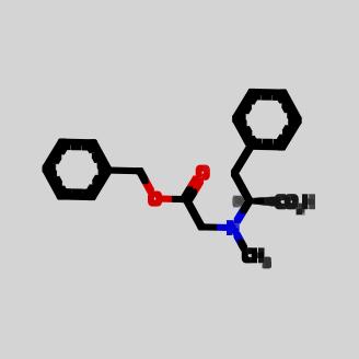 CN(CC(=O)OCc1ccccc1)[C@@H](Cc1ccccc1)C(=O)O